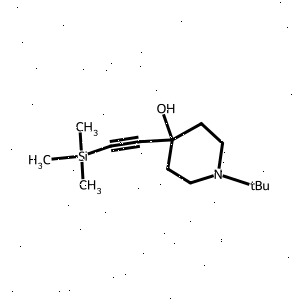 CC(C)(C)N1CCC(O)(C#C[Si](C)(C)C)CC1